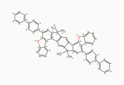 CC1(C)c2cc3c(cc2-c2c1cc(-c1ccc(-c4ccccc4)cc1)c1c2oc2ccccc21)C(C)(C)c1cc(-c2ccc(-c4ccccc4)cc2)c2oc4ccccc4c2c1-3